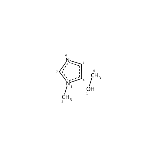 CO.Cn1ccnc1